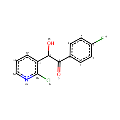 O=C(c1ccc(F)cc1)C(O)c1cccnc1Cl